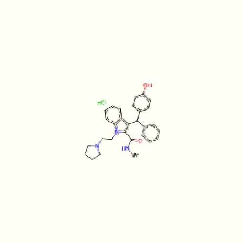 CC(C)NC(=O)c1c(C(c2ccccc2)c2ccc(O)cc2)c2ccccc2n1CCN1CCCC1.Cl